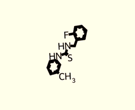 Cc1cccc(NC(=S)NCc2ccccc2F)c1